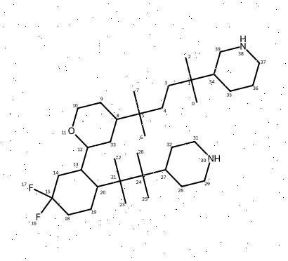 CC(C)(CCC(C)(C)C1CCOC(C2CC(F)(F)CCC2C(C)(C)C(C)(C)C2CCNCC2)C1)C1CCCNC1